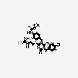 CC(C)(C)OC(=O)Nc1ccc(Cn2c(NCCNC(=N)N)nc(=O)n(Cc3ccc(Cl)cc3)c2=O)cc1